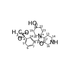 CS(=O)(=O)c1cccc(C(=O)[N+]2(C3CCNCC3)CCC(O)CC2)c1